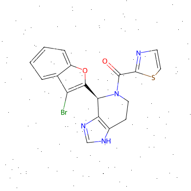 O=C(c1nccs1)N1CCc2[nH]cnc2[C@H]1c1oc2ccccc2c1Br